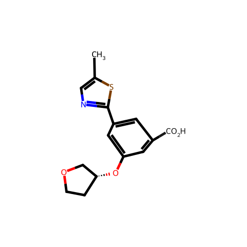 Cc1cnc(-c2cc(O[C@@H]3CCOC3)cc(C(=O)O)c2)s1